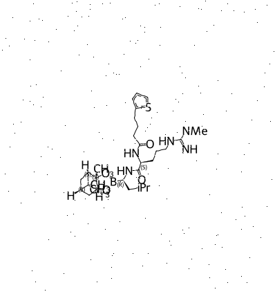 CNC(=N)NCCC[C@H](NC(=O)CCCc1cccs1)C(=O)N[C@@H](CC(C)C)B1O[C@@H]2C[C@@H]3C[C@@H](C3(C)C)[C@]2(C)O1